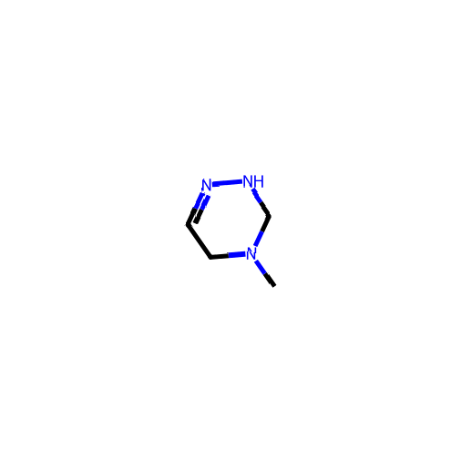 CN1CC=NNC1